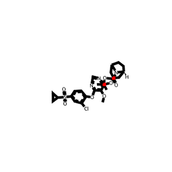 COc1c(Oc2ccc(S(=O)(=O)C3CC3)cc2Cl)ncnc1OC1CC2CC[C@@H](C1)N2C(=O)OC(C)C